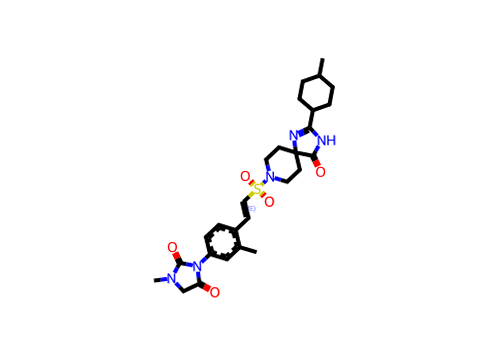 Cc1cc(N2C(=O)CN(C)C2=O)ccc1/C=C/S(=O)(=O)N1CCC2(CC1)N=C(C1CCC(C)CC1)NC2=O